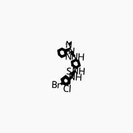 CN(C)c1nc(N[C@H]2CC[C@@H](NC(=S)Nc3ccc(Br)c(Cl)c3)CC2)nc2c1CCCC2